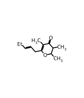 CCC=CCC1=C(C)C(=O)C(C)C(C)O1